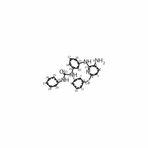 Nc1ccc(Sc2ccccc2)nc1Nc1cccc(NC(=O)Nc2ccccc2)c1